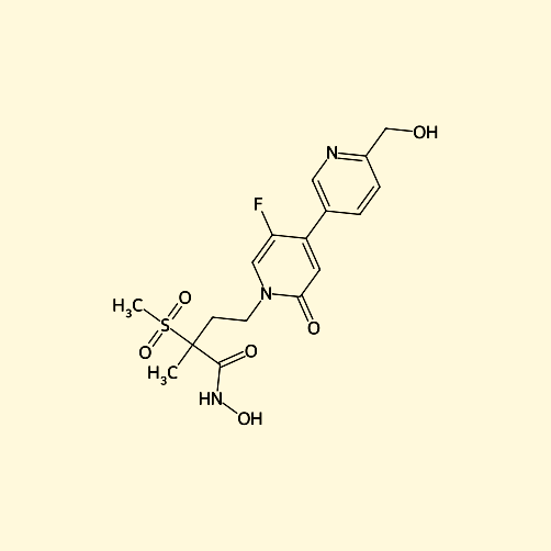 CC(CCn1cc(F)c(-c2ccc(CO)nc2)cc1=O)(C(=O)NO)S(C)(=O)=O